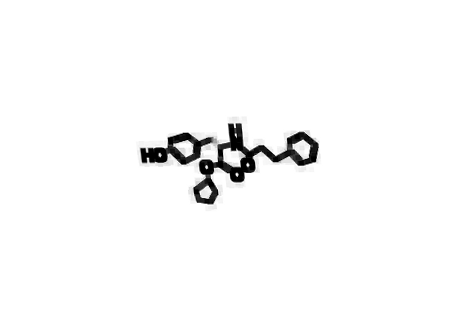 O=C(CCc1ccccc1)N[C@@H](Cc1ccc(O)cc1)C(=O)OC1CCCC1